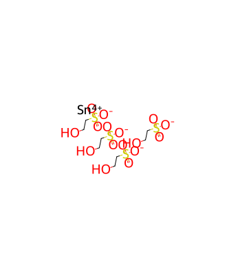 O=S(=O)([O-])CCO.O=S(=O)([O-])CCO.O=S(=O)([O-])CCO.O=S(=O)([O-])CCO.[Sn+4]